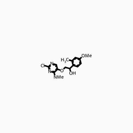 CNc1nc(Cl)ncc1OCC(O)c1ccc(OC)cc1C